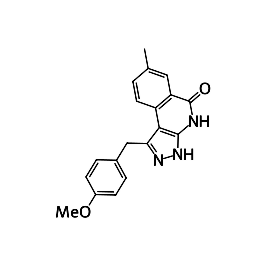 COc1ccc(Cc2n[nH]c3[nH]c(=O)c4cc(C)ccc4c23)cc1